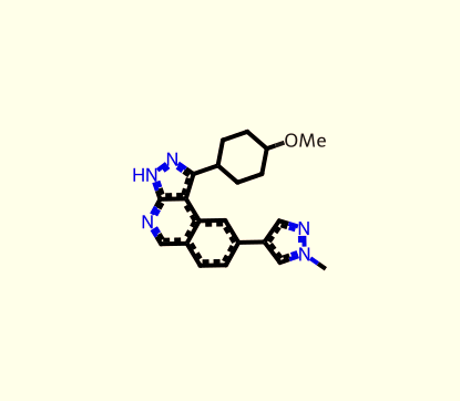 COC1CCC(c2n[nH]c3ncc4ccc(-c5cnn(C)c5)cc4c23)CC1